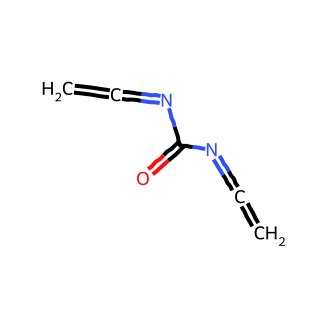 C=C=NC(=O)N=C=C